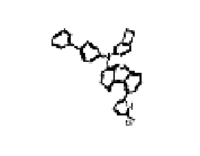 Brc1cccc(-c2cccc3sc4c(N(c5ccc(-c6ccccc6)cc5)c5ccc6c(c5)CC6)cccc4c23)n1